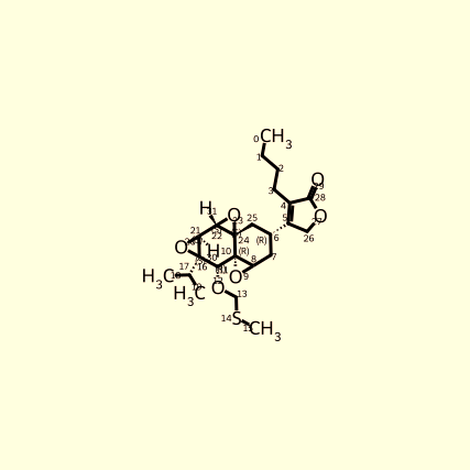 CCCCC1=C([C@@H]2CC3O[C@@]34[C@H](OCSC)[C@@]3(C(C)C)O[C@H]3[C@@H]3O[C@@]34C2)COC1=O